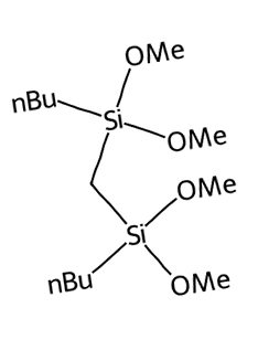 CCCC[Si](C[Si](CCCC)(OC)OC)(OC)OC